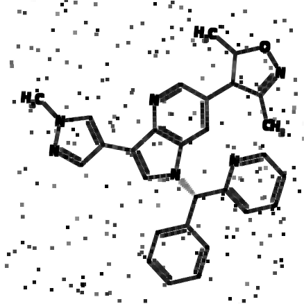 CC1=NOC(C)C1c1cnc2c(-c3cnn(C)c3)cn([C@@H](c3ccccc3)c3ccccn3)c2c1